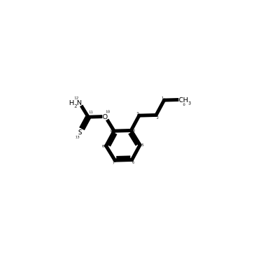 CCCCc1ccccc1OC(N)=S